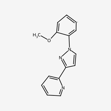 COc1cc[c]cc1-n1ccc(-c2ccccn2)n1